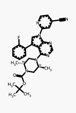 C[C@@H]1CN(c2ncnc3c2c(-c2ccccc2F)cn3-c2cc(C#N)ccn2)[C@@H](C)CN1C(=O)OC(C)(C)C